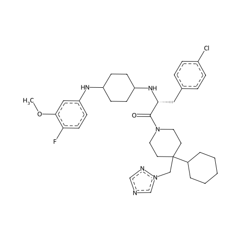 COc1cc(NC2CCC(N[C@H](Cc3ccc(Cl)cc3)C(=O)N3CCC(Cn4cncn4)(C4CCCCC4)CC3)CC2)ccc1F